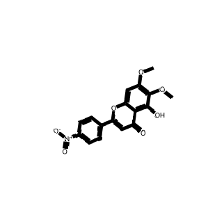 COc1cc2oc(-c3ccc([N+](=O)[O-])cc3)cc(=O)c2c(O)c1OC